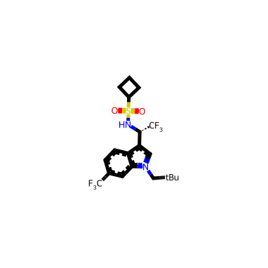 CC(C)(C)Cn1cc([C@H](NS(=O)(=O)C2CCC2)C(F)(F)F)c2ccc(C(F)(F)F)cc21